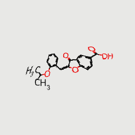 CC(C)Oc1ccccc1C=C1Oc2ccc(C(=O)O)cc2C1=O